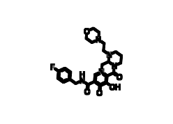 O=C(NCc1ccc(F)cc1)c1cn2c(c(O)c1=O)C(=O)N1CCCN(CCN3CCOCC3)C1C2